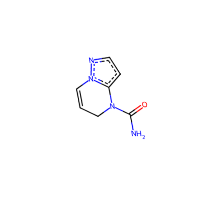 NC(=O)N1CC=Cn2nccc21